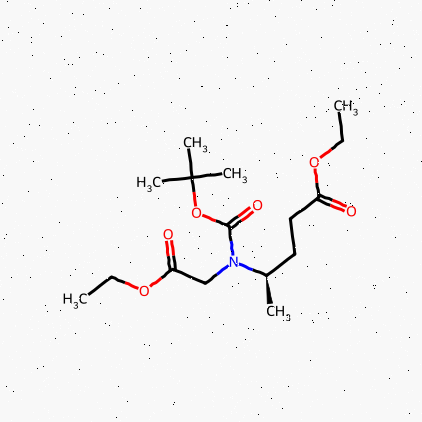 CCOC(=O)CC[C@@H](C)N(CC(=O)OCC)C(=O)OC(C)(C)C